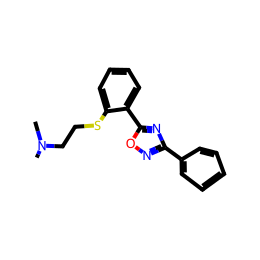 CN(C)CCSc1ccccc1-c1nc(-c2ccccc2)no1